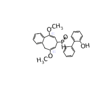 CO/C1=C/C([PH](=O)c2ccccc2-c2ccccc2O)/C=C(/OC)c2ccccc2C1